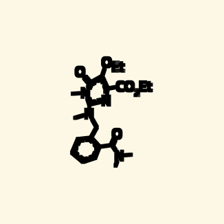 CCOC(=O)c1nc(N(C)Cc2ccccc2C(=O)N(C)C)n(C)c(=O)c1OCC